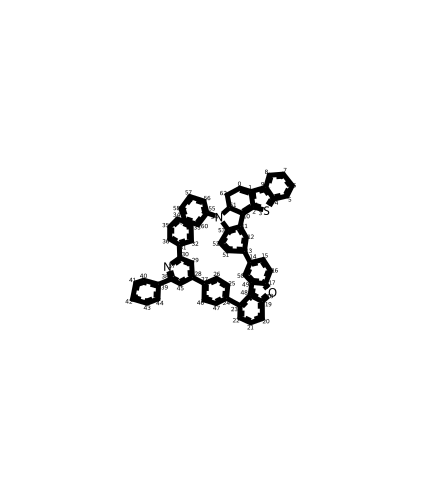 C1=c2c(sc3ccccc23)=C2c3cc(-c4ccc5oc6cccc(-c7ccc(-c8cc(-c9ccccc9)nc(-c9ccccc9)c8)cc7)c6c5c4)ccc3N(c3ccccc3)C2C1